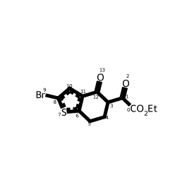 CCOC(=O)C(=O)C1CCc2sc(Br)cc2C1=O